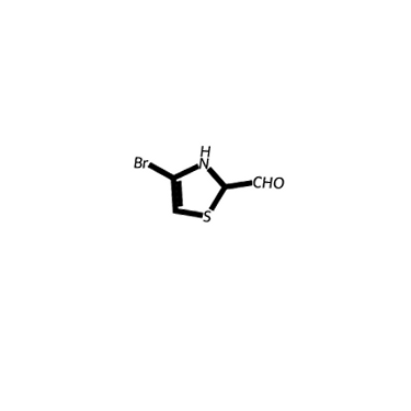 O=CC1NC(Br)=CS1